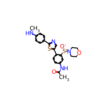 CNc1ccc(-c2ncc(-c3ccc(NC(C)=O)cc3[S+]([O-])N3CCOCC3)s2)cc1